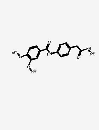 CCCOc1ccc(C(=O)Nc2ccc(CC(=O)NO)cc2)cc1OCCC